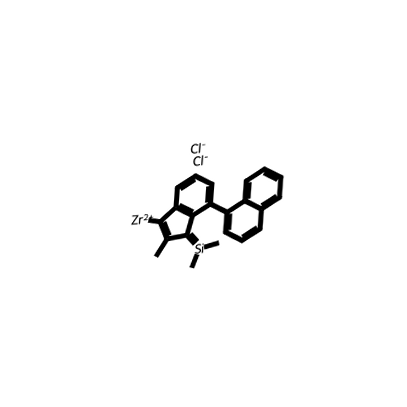 CC1=[C]([Zr+2])c2cccc(-c3cccc4ccccc34)c2C1=[Si](C)C.[Cl-].[Cl-]